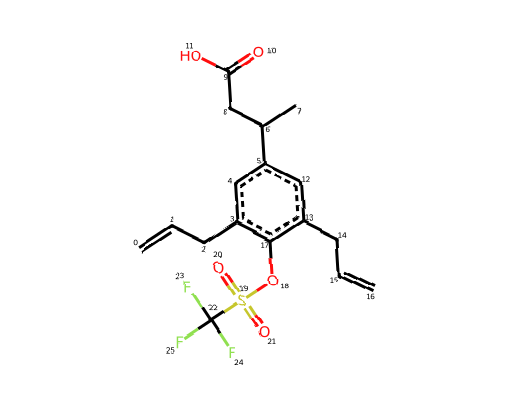 C=CCc1cc(C(C)CC(=O)O)cc(CC=C)c1OS(=O)(=O)C(F)(F)F